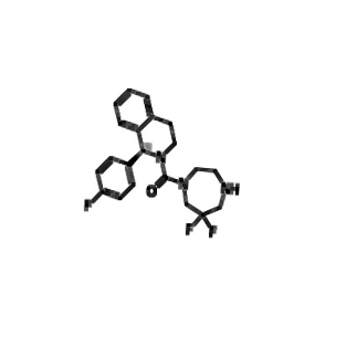 O=C(N1CCNCC(F)(F)C1)N1CCc2ccccc2[C@@H]1c1ccc(F)cc1